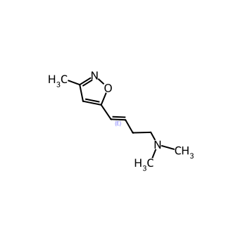 Cc1cc(/C=C/CCN(C)C)on1